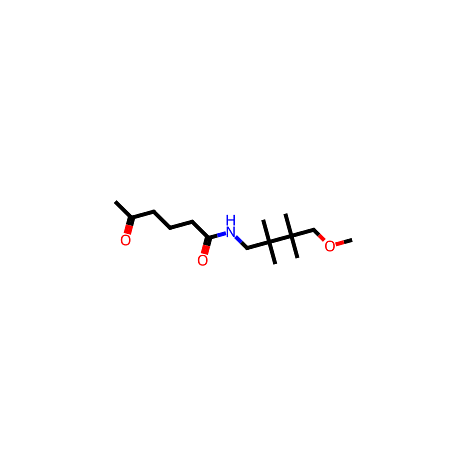 COCC(C)(C)C(C)(C)CNC(=O)CCCC(C)=O